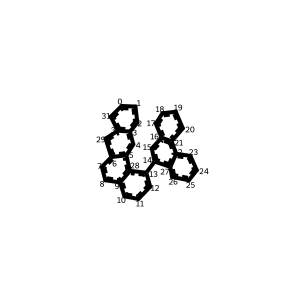 c1ccc2cc3c(ccc4cccc(-c5cc6ccccc6c6ccccc56)c43)cc2c1